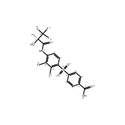 C[C@@](O)(C(=O)Nc1ccc(S(=O)(=O)c2ccc(C(=O)O)cc2)c(Cl)c1Cl)C(F)(F)F